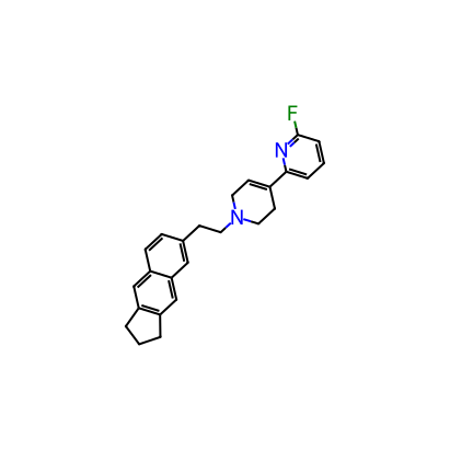 Fc1cccc(C2=CCN(CCc3ccc4cc5c(cc4c3)CCC5)CC2)n1